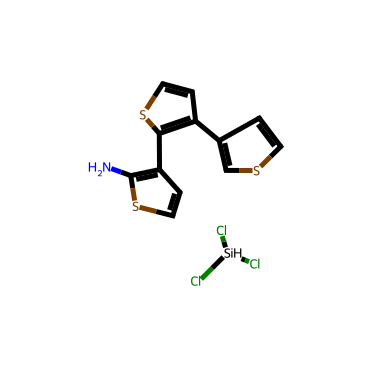 Cl[SiH](Cl)Cl.Nc1sccc1-c1sccc1-c1ccsc1